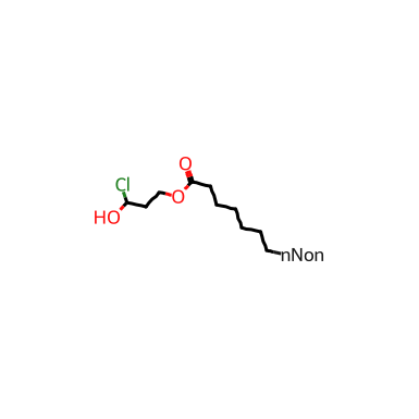 CCCCCCCCCCCCCCCC(=O)OCCC(O)Cl